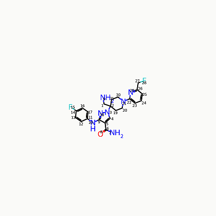 NCC1(n2cc(C(N)=O)c(Nc3ccc(F)cc3)n2)CCN(c2cccc(CF)n2)CC1